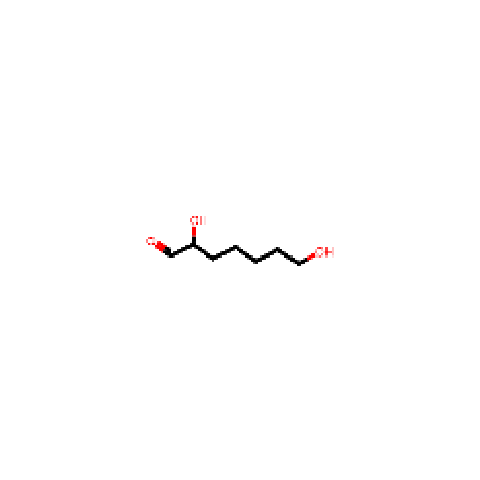 O=CC(O)CCCCCO